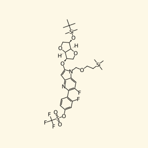 CC(C)(C)[Si](C)(C)O[C@@H]1CO[C@H]2[C@@H]1OC[C@H]2Oc1cc2nc(-c3ccc(OS(=O)(=O)C(F)(F)F)cc3F)c(F)cc2n1COCC[Si](C)(C)C